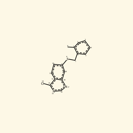 Cc1ccccc1CSc1ccc2c(Cl)ncnc2c1